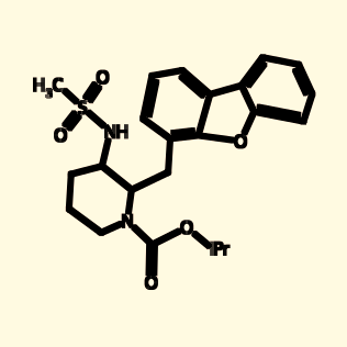 CC(C)OC(=O)N1CCCC(NS(C)(=O)=O)C1Cc1cccc2c1oc1ccccc12